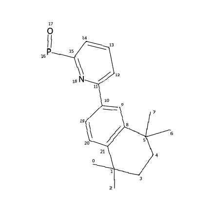 CC1(C)CCC(C)(C)c2cc(-c3cccc(P=O)n3)ccc21